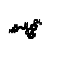 Cc1ccc(-n2nccn2)c(C(=O)NCCc2c[nH]cn2)c1